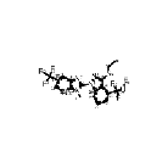 CCSc1nn(-c2nc3cc(C(F)(F)F)cnc3n2C)c2cccc(C(F)(F)OF)c12